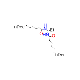 CCCCCCCCCCCCCCCC(=O)NC(CC)NC(=O)CCCCCCCCCCCCCCC